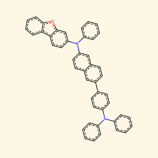 c1ccc(N(c2ccccc2)c2ccc(-c3ccc4cc(N(c5ccccc5)c5ccc6c(c5)oc5ccccc56)ccc4c3)cc2)cc1